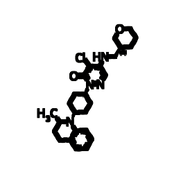 CC1CCc2ccccc2N1[C@H]1CC[C@H](n2ncc(NC[C@@H]3CCCOC3)c(Cl)c2=O)CC1